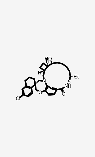 CC[C@H]1CCCC[C@H](O)[C@@H]2CC[C@H]2CN2C[C@@]3(CCCc4cc(Cl)ccc43)COc3ccc(cc32)C(=O)NS1